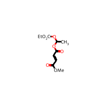 CCOC(=O)OC(C)OC(=O)C=CC(=O)OC